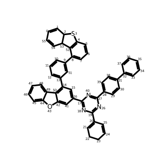 C1=CC2Sc3cccc(-c4cccc(-c5cc(-c6nc(C7=CCCC=C7)nc(-c7ccc(-c8ccccc8)cc7)n6)cc6oc7ccccc7c56)c4)c3C2C=C1